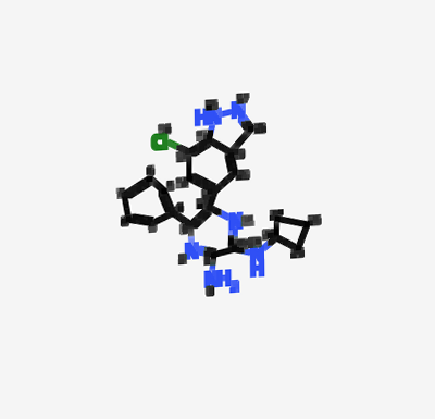 Nc1nc(-c2ccccc2)c(-c2cc(Cl)c3[nH]ncc3c2)nc1NC1CCC1